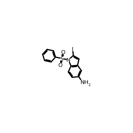 Nc1ccc2c(c1)cc(I)n2S(=O)(=O)c1ccccc1